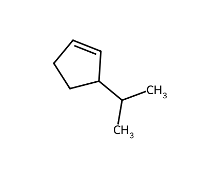 CC(C)C1C=CCC1